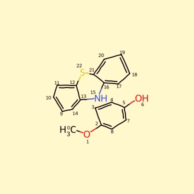 COc1ccc(O)cc1.c1ccc2c(c1)Nc1ccccc1S2